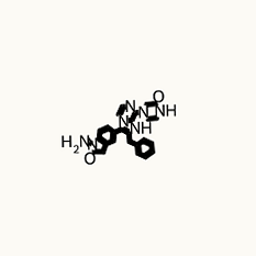 NN1C(=O)Cc2cc(C3=C(Cc4ccccc4)NC4C(N5CCNC(=O)C5)=NC=CN34)ccc21